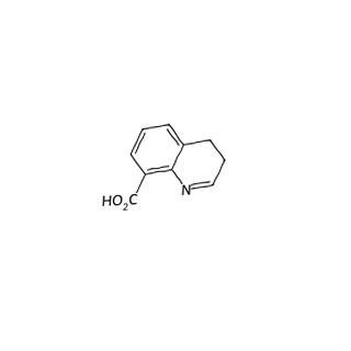 O=C(O)c1cccc2c1N=CCC2